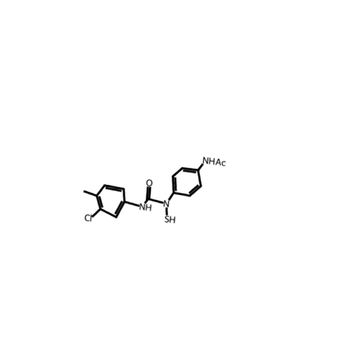 CC(=O)Nc1ccc(N(S)C(=O)Nc2ccc(C)c(Cl)c2)cc1